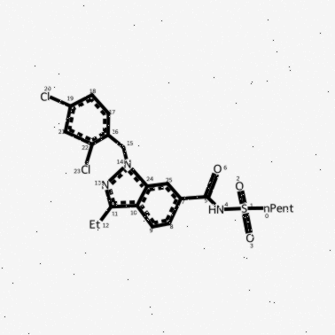 CCCCCS(=O)(=O)NC(=O)c1ccc2c(CC)nn(Cc3ccc(Cl)cc3Cl)c2c1